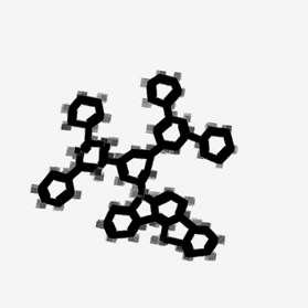 c1ccc(-c2cc(-c3ccccc3)cc(-c3cc(-c4nc(-c5ccccc5)nc(-c5ccccc5)n4)cc(-n4c5ccccc5c5c6sc7ccccc7c6ccc54)c3)c2)cc1